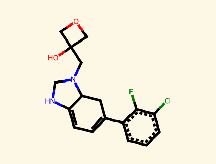 OC1(CN2CNC3=CC=C(c4cccc(Cl)c4F)CC32)COC1